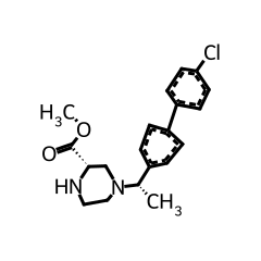 COC(=O)[C@@H]1CN([C@@H](C)c2ccc(-c3ccc(Cl)cc3)cc2)CCN1